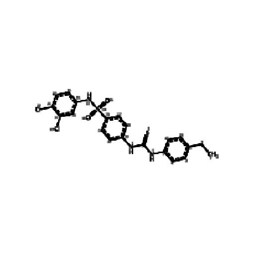 CCc1ccc(NC(=S)Nc2ccc(S(=O)(=O)Nc3ccc(Cl)c(Cl)c3)cc2)cc1